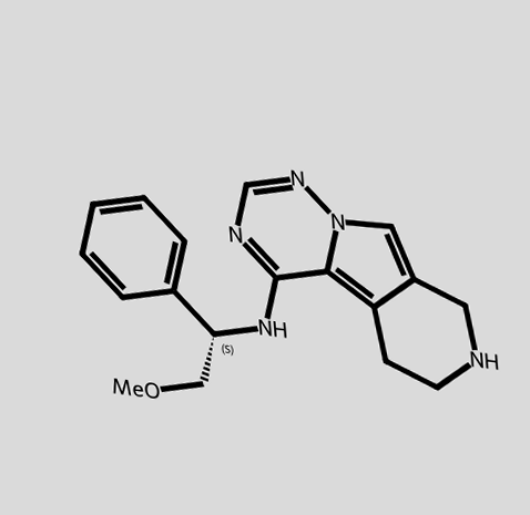 COC[C@@H](Nc1ncnn2cc3c(c12)CCNC3)c1ccccc1